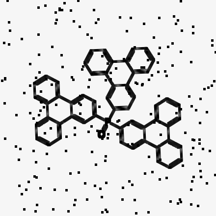 O=P(c1ccc2c3ccccc3c3ccccc3c2c1)(c1ccc2c3ccccc3c3ccccc3c2c1)c1ccc2c3ccccc3c3ccccc3c2c1